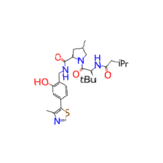 Cc1ncsc1-c1ccc(CNC(=O)C2CC(C)CN2C(=O)C(NC(=O)CC(C)C)C(C)(C)C)c(O)c1